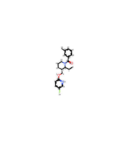 CCC1[C@@H](COc2ccc(F)cn2)CCCN1C(=O)c1cccc(C)c1